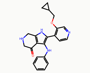 O=C1CNCc2[nH]c(-c3ccncc3OCC3CC3)c(Nc3ccccc3)c21